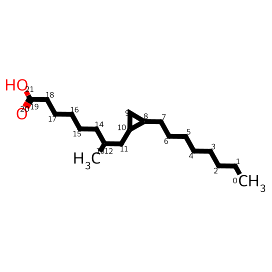 CCCCCCCCC1CC1CC(C)CCCCCC(=O)O